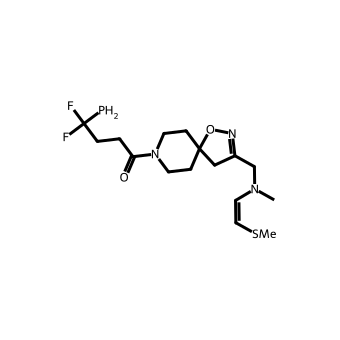 CS/C=C\N(C)CC1=NOC2(CCN(C(=O)CCC(F)(F)P)CC2)C1